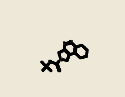 CC(C)(C)OC(=O)N1Cc2nnc3c(c2C1)CCCC3